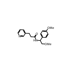 COCC(NC(=O)CCc1cccnc1)c1ccc(OC)cc1